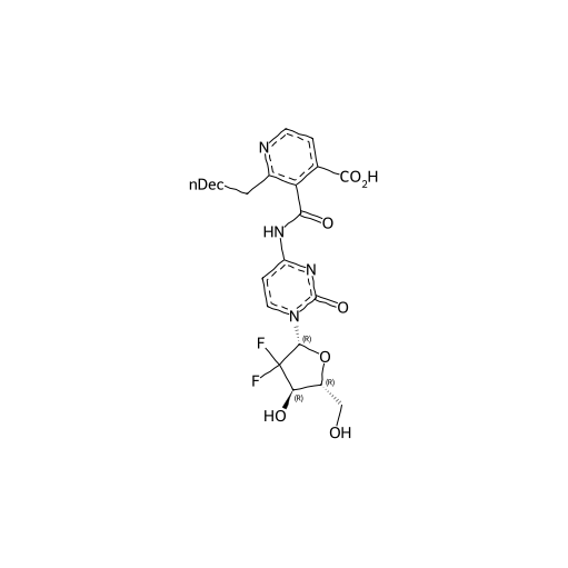 CCCCCCCCCCCc1nccc(C(=O)O)c1C(=O)Nc1ccn([C@@H]2O[C@H](CO)[C@@H](O)C2(F)F)c(=O)n1